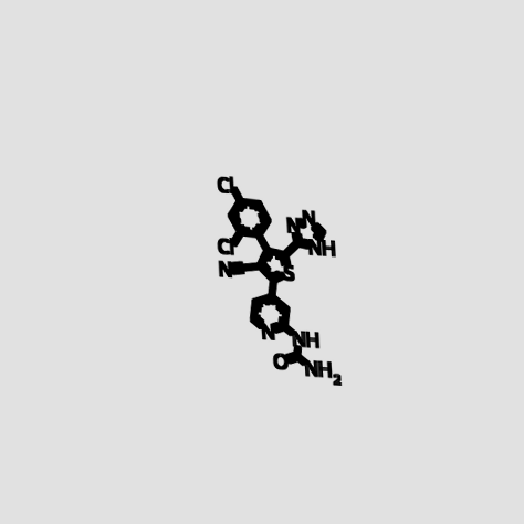 N#Cc1c(-c2ccnc(NC(N)=O)c2)sc(-c2nnc[nH]2)c1-c1ccc(Cl)cc1Cl